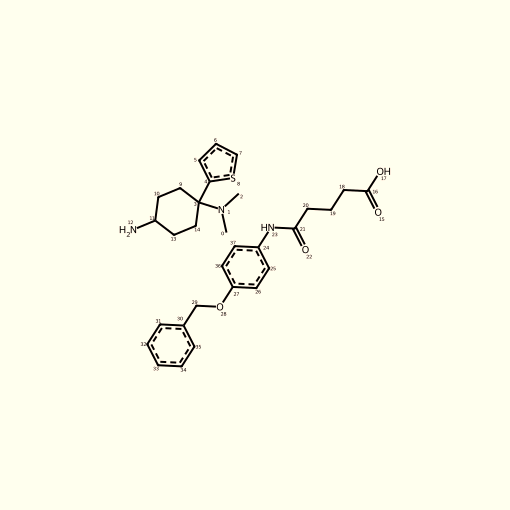 CN(C)C1(c2cccs2)CCC(N)CC1.O=C(O)CCCC(=O)Nc1ccc(OCc2ccccc2)cc1